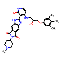 Cc1cc(OCC(O)CNc2cc[nH]c(=O)c2-c2nc3cc4c(cc3[nH]2)C(=O)N(C2CCN(C)CC2)C4=O)cc(C)c1C